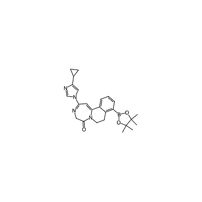 CC1(C)OB(c2cccc3c2CCN2C(=O)CN=C(n4cnc(C5CC5)c4)C=C32)OC1(C)C